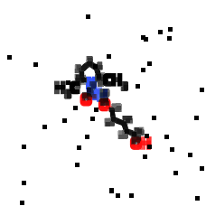 C[C@@H]1CCC[C@H](C)N1/[N+]([O-])=N/OCCCCCO